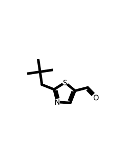 CC(C)(C)Cc1ncc(C=O)s1